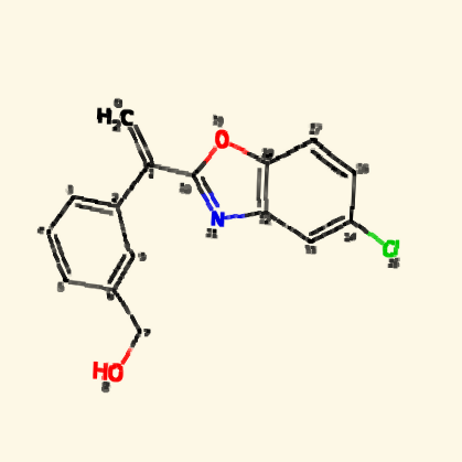 C=C(c1cccc(CO)c1)c1nc2cc(Cl)ccc2o1